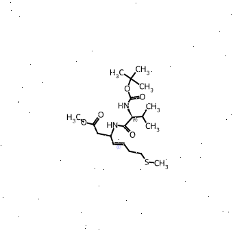 COC(=O)CC(/C=C/CCSC)NC(=O)[C@@H](NC(=O)OC(C)(C)C)C(C)C